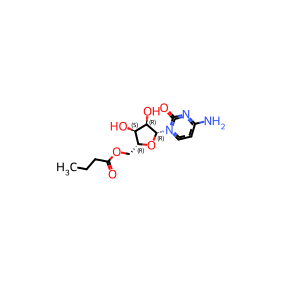 CCCC(=O)OC[C@H]1O[C@@H](n2ccc(N)nc2=O)[C@H](O)[C@@H]1O